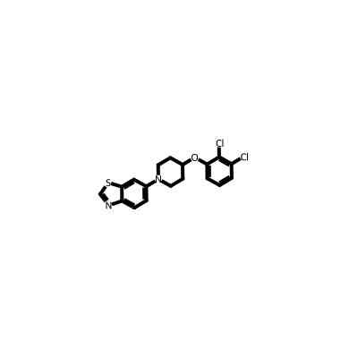 Clc1cccc(OC2CCN(c3ccc4ncsc4c3)CC2)c1Cl